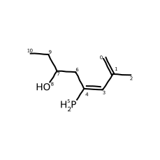 C=C(C)/C=C(/P)CC(O)CC